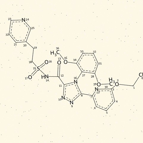 CCOc1cccc(-c2nnc(C(=O)NS(=O)(=O)CCc3cccnc3)n2-c2c(OC)cccc2OC)n1